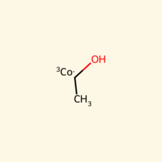 CCO.[3Co]